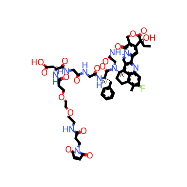 CC[C@@]1(O)C(=O)OCc2c1cc1n(c2=O)Cc2c-1nc1cc(F)c(C)c3c1c2[C@@H](N(CC(N)=O)C(=O)[C@H](Cc1ccccc1)NC(=O)CNC(=O)CNC(=O)[C@H](CC(=O)O)NC(=O)CCOCCOCCNC(=O)CCN1C(=O)C=CC1=O)CC3